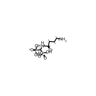 NCCCC(=O)NC(P(=O)(O)O)P(=O)(O)O